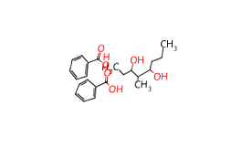 CCCC(O)C(C)C(O)CC.O=C(O)c1ccccc1.O=C(O)c1ccccc1